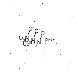 O=[N+]([O-])[O-].O=[N+]([O-])[O-].O=[N+]([O-])[O-].[Ce].[Pr+3]